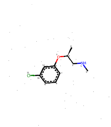 CNC[C@H](C)Oc1cccc(Cl)c1